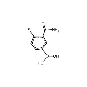 NC(=O)c1cc(B(O)O)ccc1F